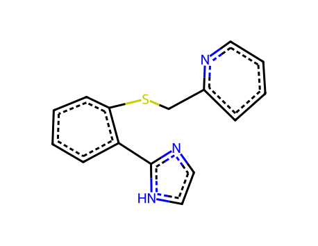 c1ccc(CSc2ccccc2-c2ncc[nH]2)nc1